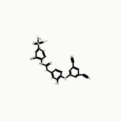 N#Cc1cc(C#N)cc(Oc2ccc(CC(=O)Nc3ccc(S(N)(=O)=O)cc3Br)cc2Cl)c1